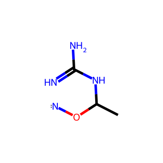 CC(NC(=N)N)O[N]